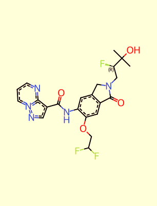 CC(C)(O)[C@H](F)CN1Cc2cc(NC(=O)c3cnn4cccnc34)c(OCC(F)F)cc2C1=O